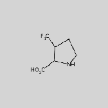 O=C(O)C1NCCC1C(F)(F)F